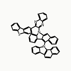 c1ccc2c(-n3c4ccccc4c4ccc5ccccc5c43)c3c4ccccc4n(-c4nc5ccccc5nc4-c4ccc5sc6ccccc6c5c4)c3cc2c1